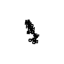 O=C(NNC(=O)C(F)(F)C(F)(F)C(F)(F)F)c1ccc(/C=C/C(c2cc(Cl)c(Cl)c(Cl)c2)C(F)(F)F)cc1Br